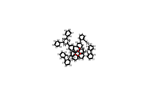 N#Cc1ccccc1-c1ccc(-n2c3ccccc3c3cc(-n4c5ccccc5c5ccccc54)ccc32)c(-c2cc(-c3nc(-c4ccccc4)nc(-c4ccccc4)n3)ccc2-n2c3ccccc3c3cc(-n4c5ccccc5c5ccccc54)ccc32)c1